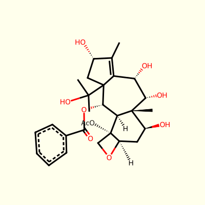 CC(=O)O[C@@]12CO[C@@H]1C[C@H](O)[C@]1(C)[C@@H]2[C@H](OC(=O)c2ccccc2)C2(C(C)(C)O)C[C@H](O)C(C)=C2[C@H](O)[C@@H]1O